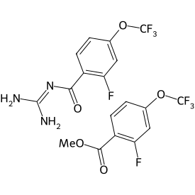 COC(=O)c1ccc(OC(F)(F)F)cc1F.NC(N)=NC(=O)c1ccc(OC(F)(F)F)cc1F